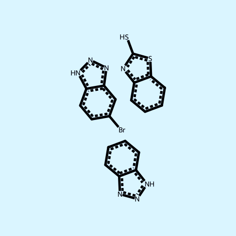 Brc1ccc2[nH]nnc2c1.Sc1nc2ccccc2s1.c1ccc2[nH]nnc2c1